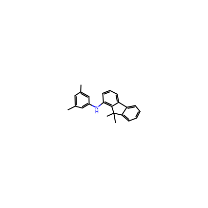 Cc1cc(C)cc(Nc2cccc3c2C(C)(C)c2ccccc2-3)c1